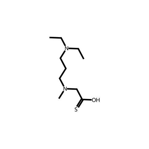 CCN(CC)CCCN(C)CC(O)=S